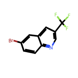 FC(F)(F)c1cnc2ccc(Br)cc2c1